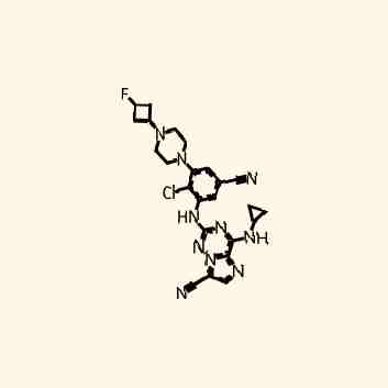 N#Cc1cc(Nc2nc(NC3CC3)c3ncc(C#N)n3n2)c(Cl)c(N2CCN(C3CC(F)C3)CC2)c1